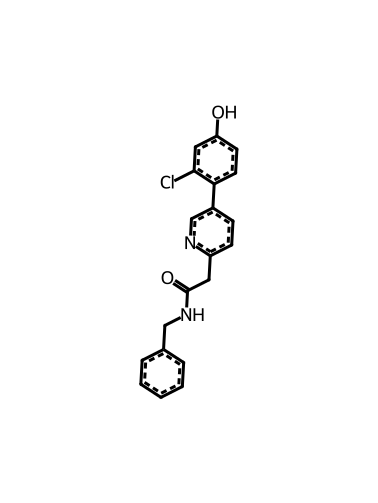 O=C(Cc1ccc(-c2ccc(O)cc2Cl)cn1)NCc1ccccc1